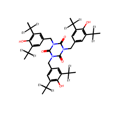 CCC(C)(CC)c1cc(Cn2c(=O)n(Cc3cc(C(C)(CC)CC)c(O)c(C(C)(CC)CC)c3)c(=O)n(Cc3cc(C(C)(CC)CC)c(O)c(C(C)(CC)CC)c3)c2=O)cc(C(C)(CC)CC)c1O